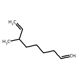 [CH]=CCCCCC(C)C=C